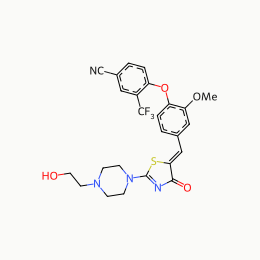 COc1cc(/C=C2\SC(N3CCN(CCO)CC3)=NC2=O)ccc1Oc1ccc(C#N)cc1C(F)(F)F